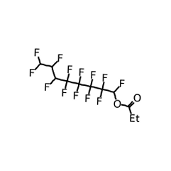 CCC(=O)OC(F)C(F)(F)C(F)(F)C(F)(F)C(F)(F)C(F)C(F)C(F)F